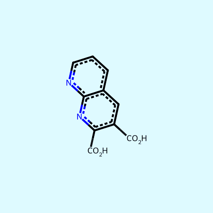 O=C(O)c1cc2cccnc2nc1C(=O)O